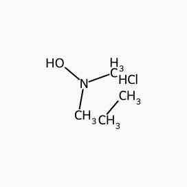 CC.CN(C)O.Cl